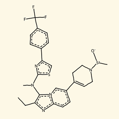 CCc1nc2ccc(C3=CCN([S+](C)[O-])CC3)cn2c1N(C)c1nc(-c2ccc(C(F)(F)F)cc2)cs1